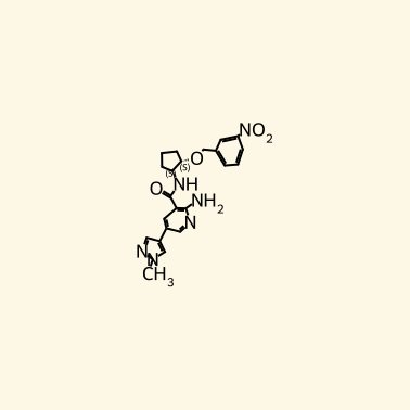 Cn1cc(-c2cnc(N)c(C(=O)N[C@H]3CCC[C@@H]3OCc3cccc([N+](=O)[O-])c3)c2)cn1